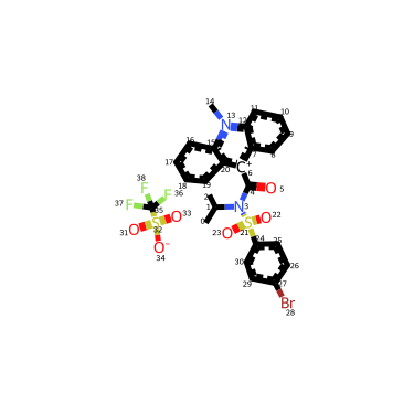 CC(C)N(C(=O)[c+]1c2ccccc2n(C)c2ccccc21)S(=O)(=O)c1ccc(Br)cc1.O=S(=O)([O-])C(F)(F)F